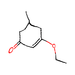 CCOC1=CC(=O)CC(C)C1